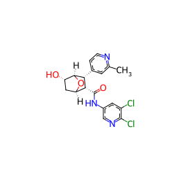 Cc1cc([C@H]2[C@H]3O[C@H](C[C@@H]3O)[C@H]2C(=O)Nc2cnc(Cl)c(Cl)c2)ccn1